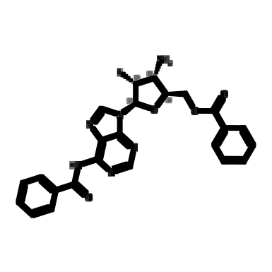 N[C@H]1[C@@H](F)[C@H](n2cnc3c(NC(=O)c4ccccc4)ncnc32)O[C@@H]1COC(=O)c1ccccc1